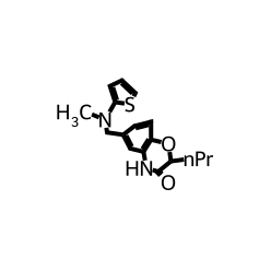 CCCC1Oc2ccc(CN(C)c3cccs3)cc2NC1=O